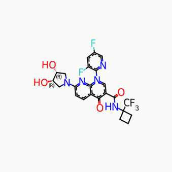 O=C(NC1(C(F)(F)F)CCC1)c1cn(-c2ncc(F)cc2F)c2nc(N3C[C@@H](O)[C@H](O)C3)ccc2c1=O